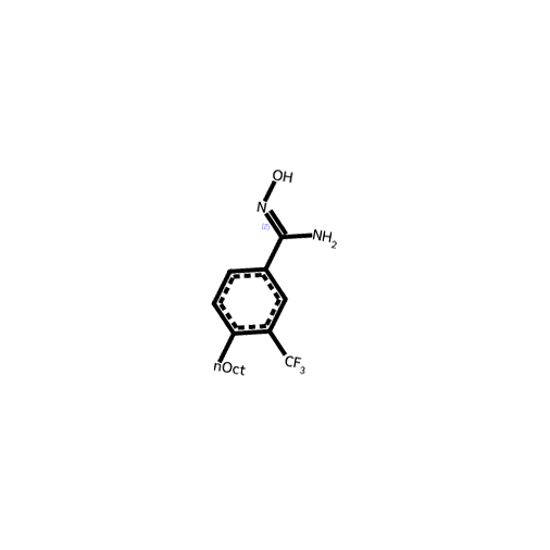 CCCCCCCCc1ccc(/C(N)=N/O)cc1C(F)(F)F